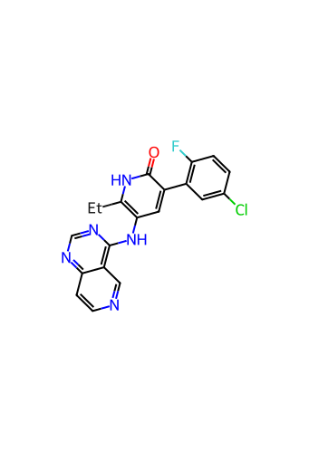 CCc1[nH]c(=O)c(-c2cc(Cl)ccc2F)cc1Nc1ncnc2ccncc12